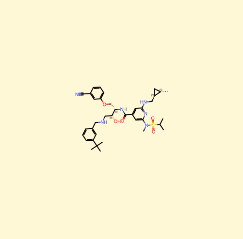 CC(C)S(=O)(=O)N(C)c1cc(C(=O)N[C@@H](COc2cccc(C#N)c2)[C@H](O)CNCc2cccc(C(C)(C)C)c2)cc(NC[C@H]2C[C@@H]2C)n1